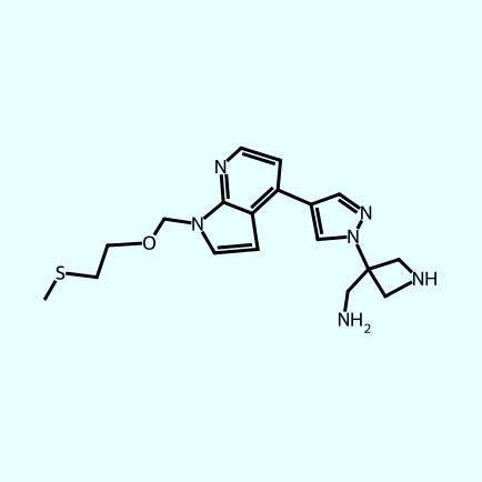 CSCCOCn1ccc2c(-c3cnn(C4(CN)CNC4)c3)ccnc21